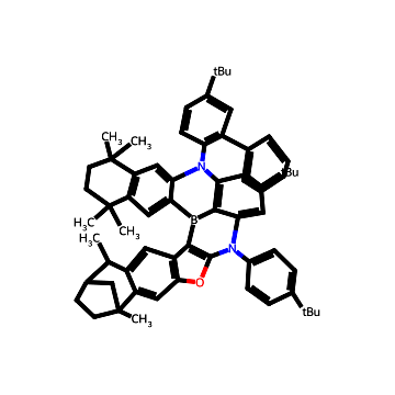 CC1c2cc3c4c(oc3cc2C2(C)CCC1C2)N(c1ccc(C(C)(C)C)cc1)c1cc(C(C)(C)C)cc2c1B4c1cc3c(cc1N2c1ccc(C(C)(C)C)cc1-c1ccccc1)C(C)(C)CCC3(C)C